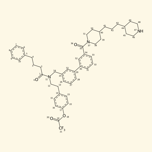 O=C(CCCc1ccccc1)N(CCc1ccc(OC(=O)C(F)(F)F)cc1)Cc1cccc(-c2cccc(C(=O)N3CCC(CCCC4CCNCC4)CC3)c2)c1